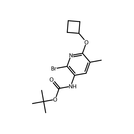 Cc1cc(NC(=O)OC(C)(C)C)c(Br)nc1OC1CCC1